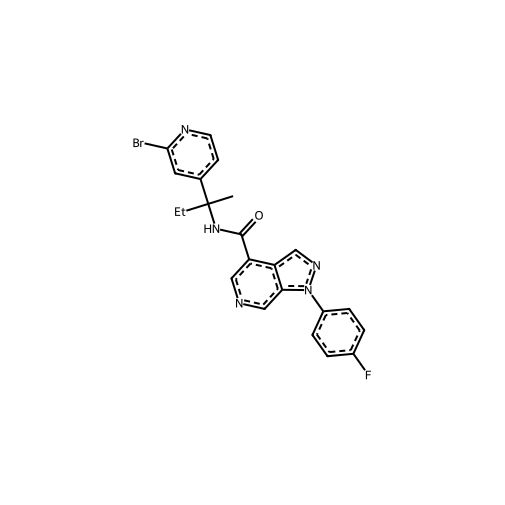 CCC(C)(NC(=O)c1cncc2c1cnn2-c1ccc(F)cc1)c1ccnc(Br)c1